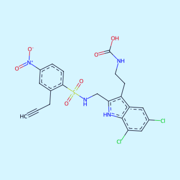 C#CCc1cc([N+](=O)[O-])ccc1S(=O)(=O)NCc1[nH]c2c(Cl)cc(Cl)cc2c1CCNC(=O)O